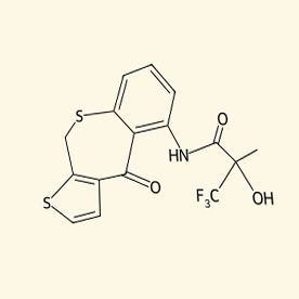 CC(O)(C(=O)Nc1cccc2c1C(=O)c1ccsc1CS2)C(F)(F)F